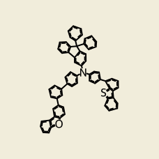 c1ccc(C2(c3ccccc3)c3ccccc3-c3cc(N(c4ccc(-c5cccc(-c6ccc7oc8ccccc8c7c6)c5)cc4)c4ccc(-c5cccc6c5sc5ccccc56)cc4)ccc32)cc1